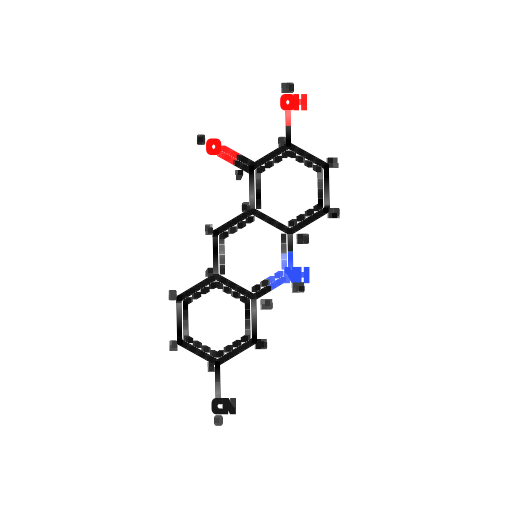 N#Cc1ccc2cc3c(=O)c(O)ccc-3[nH]c2c1